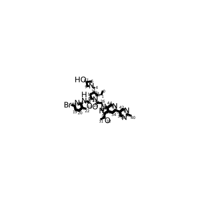 CC[C@@H]1[C@@H](CN2CC(O)C2)C[C@@H](C(=O)Nc2nc(Br)ccc2C)N1C(=O)Cn1nc(C(C)=O)c2cc(-c3cnc(C)nc3)ncc21